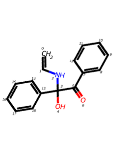 C=CNC(O)(C(=O)c1ccccc1)c1ccccc1